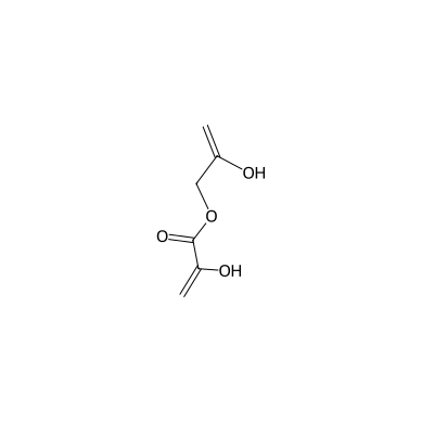 C=C(O)COC(=O)C(=C)O